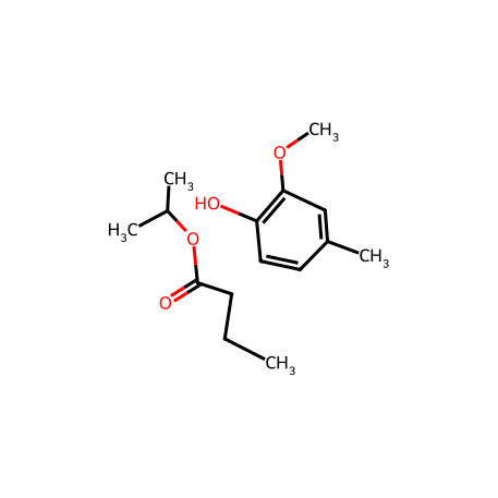 CCCC(=O)OC(C)C.COc1cc(C)ccc1O